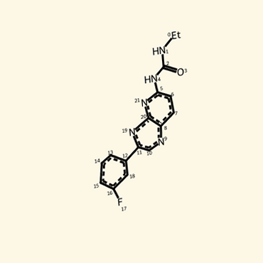 CCNC(=O)Nc1ccc2ncc(-c3cccc(F)c3)nc2n1